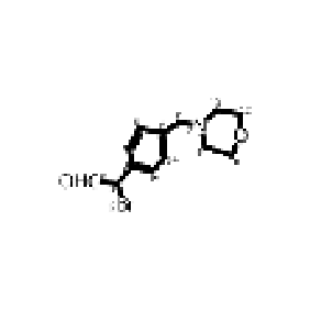 O=CC(Br)c1ccc(CN2CCOCC2)cc1